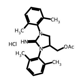 CC(=O)OCC1CN(c2c(C)cccc2C)C(=N)N1c1c(C)cccc1C.Cl